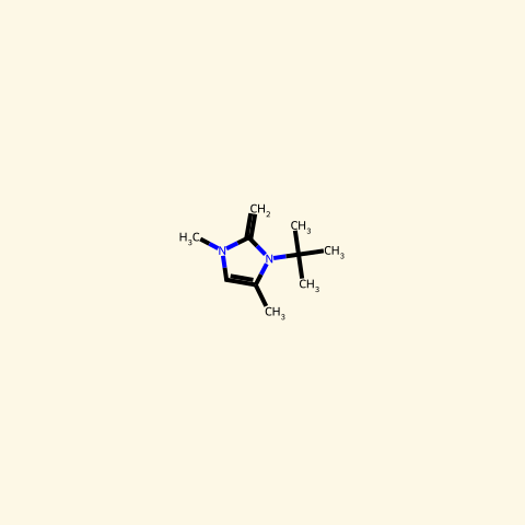 C=C1N(C)C=C(C)N1C(C)(C)C